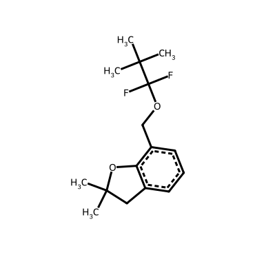 CC1(C)Cc2cccc(COC(F)(F)C(C)(C)C)c2O1